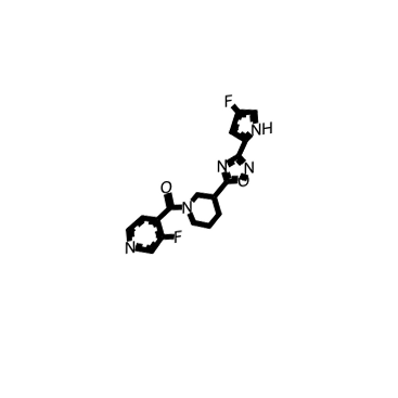 O=C(c1ccncc1F)N1CCCC(c2nc(-c3cc(F)c[nH]3)no2)C1